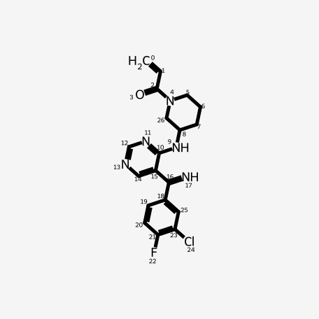 C=CC(=O)N1CCCC(Nc2ncncc2C(=N)c2ccc(F)c(Cl)c2)C1